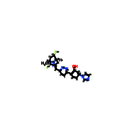 [2H][C@]12C/C(=C\c3ccc(-c4ccc(-n5ccnc5)cc4O)nn3)[C@H](F)[C@](C)(C[C@H]1F)N2